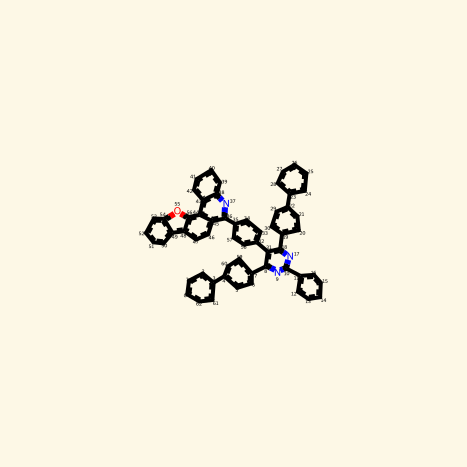 c1ccc(-c2ccc(-c3nc(-c4ccccc4)nc(-c4ccc(-c5ccccc5)cc4)c3-c3ccc(-c4nc5ccccc5c5c4ccc4c6ccccc6oc45)cc3)cc2)cc1